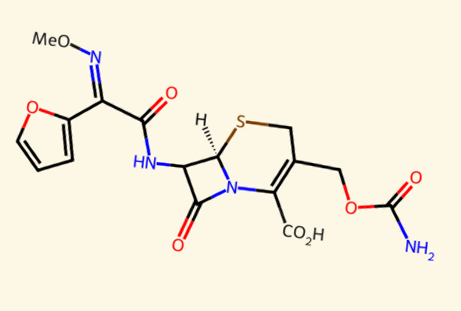 CO/N=C(/C(=O)NC1C(=O)N2C(C(=O)O)=C(COC(N)=O)CS[C@H]12)c1ccco1